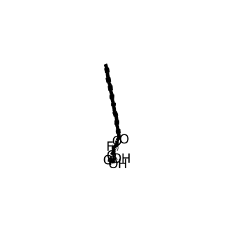 CC#CC#CC#CC#CC#CC#CC#CC#CC(=O)OC[C@H](F)COP(=O)(O)O